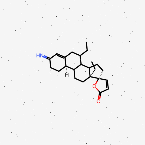 CCC1CC2=CC(=N)CC[C@@H]2C2CC[C@@]3(CC)C(CC[C@@]34C=CC(=O)O4)C12